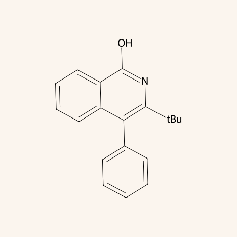 CC(C)(C)c1nc(O)c2ccccc2c1-c1ccccc1